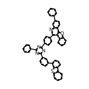 c1ccc(-c2ccc3c(c2)nc(-c2ccc(-c4nc(-c5ccccc5)nc(-c5cccc(-c6cccc7c6sc6ccccc67)c5)n4)cc2)c2c4ccccc4oc32)cc1